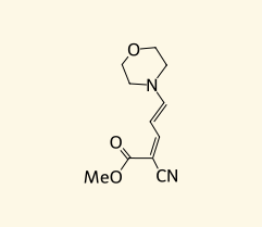 COC(=O)C(C#N)=CC=CN1CCOCC1